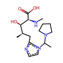 CN[C@H](C(=O)O)[C@H](O)[C@H](C)Cc1nccn1C(C)N1CCCC1